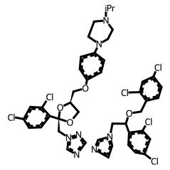 CC(C)N1CCN(c2ccc(OC[C@H]3CO[C@](Cn4cncn4)(c4ccc(Cl)cc4Cl)O3)cc2)CC1.Clc1ccc(COC(Cn2ccnc2)c2ccc(Cl)cc2Cl)c(Cl)c1